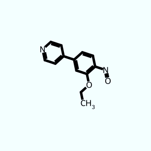 CCOc1cc(-c2ccncc2)ccc1N=O